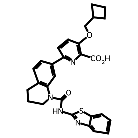 O=C(O)c1nc(-c2ccc3c(c2)N(C(=O)Nc2nc4ccccc4s2)CCC3)ccc1OCC1CCC1